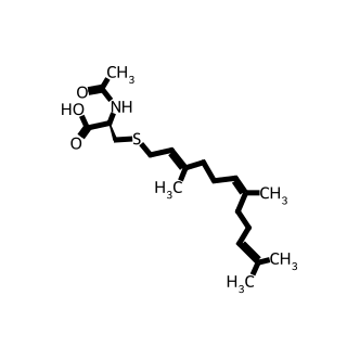 CC(=O)N[C@@H](CSC/C=C(\C)CCC=C(C)CCC=C(C)C)C(=O)O